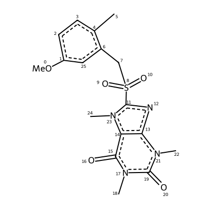 COc1ccc(C)c(CS(=O)(=O)c2nc3c(c(=O)n(C)c(=O)n3C)n2C)c1